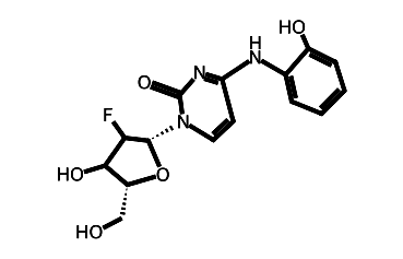 O=c1nc(Nc2ccccc2O)ccn1[C@@H]1O[C@H](CO)C(O)C1F